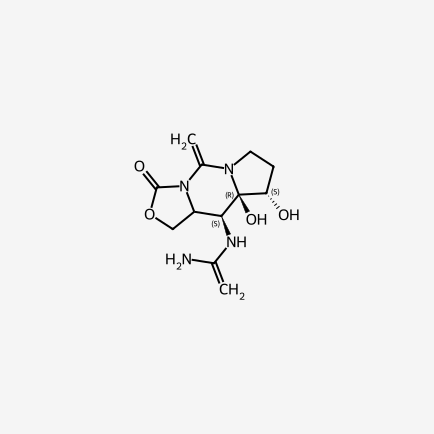 C=C(N)N[C@H]1C2COC(=O)N2C(=C)N2CC[C@H](O)[C@]12O